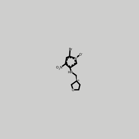 O=[N+]([O-])c1cc(Br)[n+]([O-])cc1NC[C@H]1CCOC1